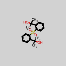 CC(C)(O)c1ccccc1S(=O)(=O)c1ccccc1C(O)(C(F)(F)F)C(F)(F)F